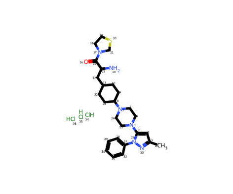 Cc1cc(N2CCN(C3CCC(CC(N)C(=O)N4CCSC4)CC3)CC2)n(-c2ccccc2)n1.Cl.Cl.Cl